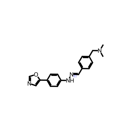 CN(C)Cc1ccc(/C=N/Nc2ccc(-c3cnco3)cc2)cc1